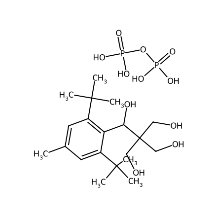 Cc1cc(C(C)(C)C)c(C(O)C(CO)(CO)CO)c(C(C)(C)C)c1.O=P(O)(O)OP(=O)(O)O